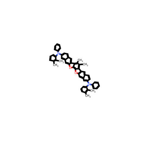 Cc1cccc(N(c2ccccc2)c2ccc3cc4c(cc3c2)oc2c3oc5cc6cc(N(c7ccccc7)c7cccc(C)c7C)ccc6cc5c3c(C)c(C)c42)c1C